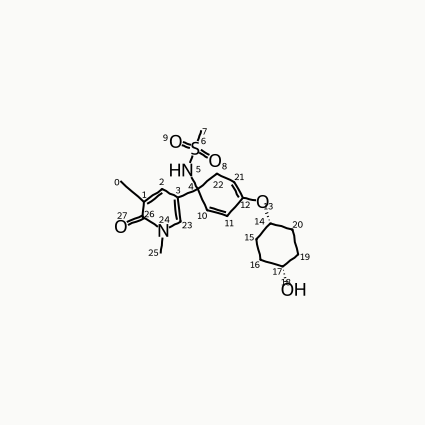 Cc1cc(C2(NS(C)(=O)=O)C=CC(O[C@H]3CC[C@@H](O)CC3)=CC2)cn(C)c1=O